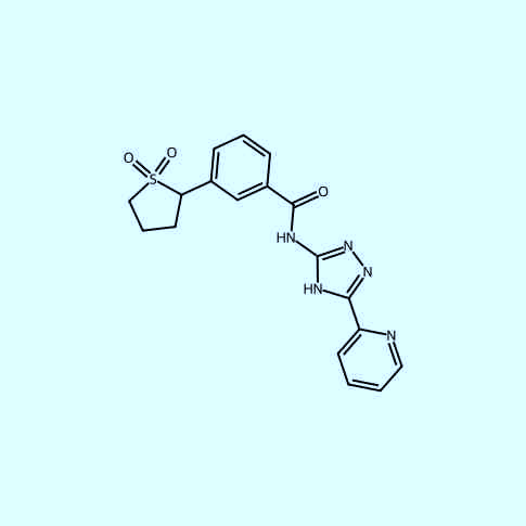 O=C(Nc1nnc(-c2ccccn2)[nH]1)c1cccc(C2CCCS2(=O)=O)c1